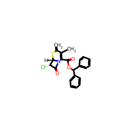 C=C1S[C@H]2[C@@H](Cl)C(=O)N2C(C(=O)OC(c2ccccc2)c2ccccc2)=C1C